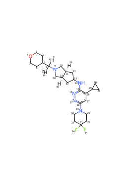 [2H]C([2H])(C1CCOCC1)N1C[C@H]2CC(Nc3nnc(N4CCC(F)(F)CC4)cc3C3CC3)C[C@H]2C1